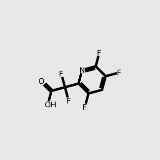 O=C(O)C(F)(F)c1nc(F)c(F)cc1F